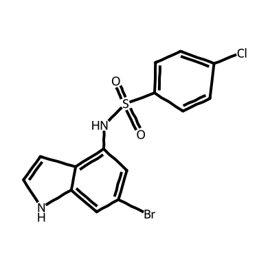 O=S(=O)(Nc1cc(Br)cc2[nH]ccc12)c1ccc(Cl)cc1